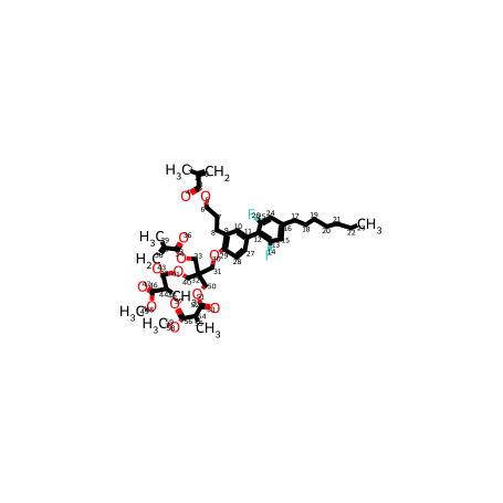 C=C(C)C(=O)OCCCc1cc(-c2c(F)cc(CCCCCCC)cc2F)ccc1OCC(COC(=O)C(=C)C)(COC(=O)C(C)C(=O)OC)COC(=O)C(C)C(=O)OC